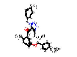 CCOC(=O)c1nnn(Cc2ccc(OC)cc2)c1C(=O)c1cc(OCc2ccc(OC)cc2)ccc1[N+](=O)[O-]